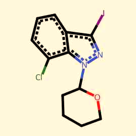 Clc1cccc2c(I)nn(C3CCCCO3)c12